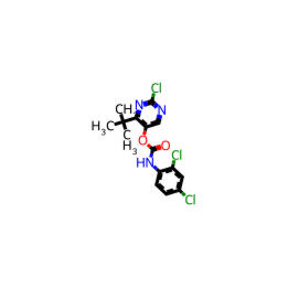 CC(C)(C)c1nc(Cl)ncc1OC(=O)Nc1ccc(Cl)cc1Cl